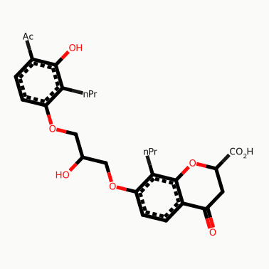 CCCc1c(OCC(O)COc2ccc3c(c2CCC)OC(C(=O)O)CC3=O)ccc(C(C)=O)c1O